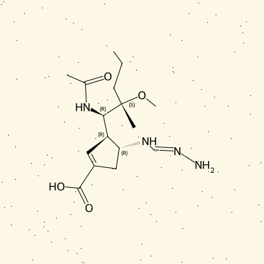 CCC[C@](C)(OC)[C@H](NC(C)=O)[C@@H]1C=C(C(=O)O)C[C@H]1NC=NN